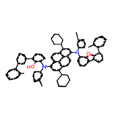 Cc1cccc(N(c2cccc(-c3cccc(-c4ccccc4C)c3)c2O)c2cc(C3CCCCC3)c3ccc4c(N(c5cccc(C)c5)c5cccc6c5oc5c(-c7ccccc7C)cccc56)cc(C5CCCCC5)c5ccc2c3c54)c1